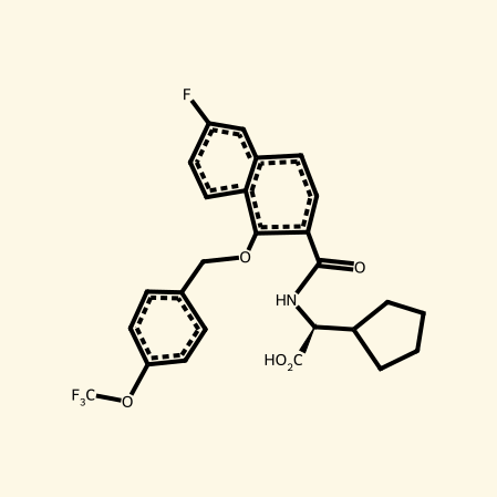 O=C(N[C@H](C(=O)O)C1CCCC1)c1ccc2cc(F)ccc2c1OCc1ccc(OC(F)(F)F)cc1